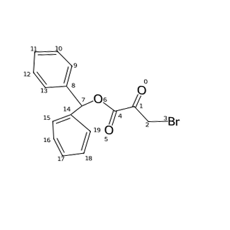 O=C(CBr)C(=O)OC(c1ccccc1)c1ccccc1